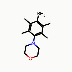 Bc1c(C)c(C)c(N2CCOCC2)c(C)c1C